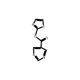 O=C(Oc1nccs1)c1cncnc1